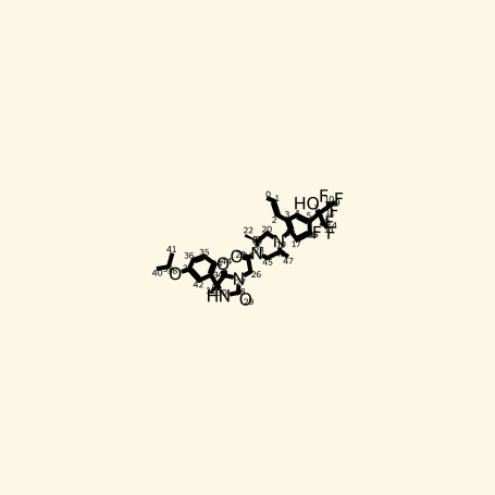 CC=Cc1cc(C(O)(C(F)(F)F)C(F)(F)F)ccc1N1C[C@H](C)N(C(=O)CN2C(=O)N[C@](C)(c3cccc(OC(C)C)c3)C2=O)CC1C